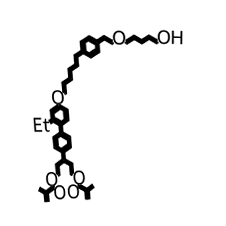 C=C(C)C(=O)OCCC(CCOC(=O)C(=C)C)c1ccc(-c2ccc(OCCCCCCc3ccc(CCOCCCCCO)cc3)cc2CC)cc1